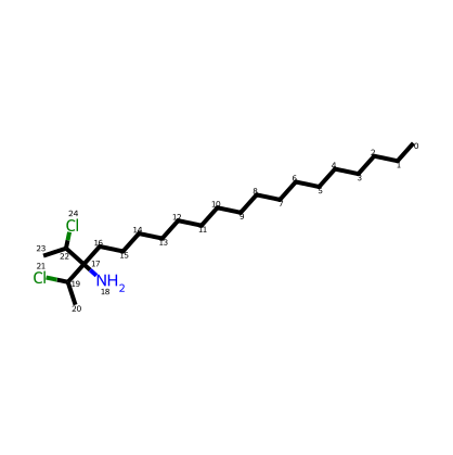 CCCCCCCCCCCCCCCCCC(N)(C(C)Cl)C(C)Cl